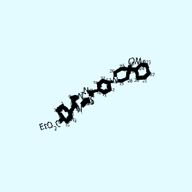 CCOC(=O)c1ccc(-c2cn3nc(-c4ccc(N5CCC(OC)(C6CCCCC6)CC5)cc4)sc3n2)cc1